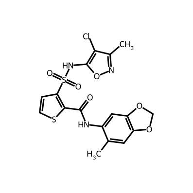 Cc1cc2c(cc1NC(=O)c1sccc1S(=O)(=O)Nc1onc(C)c1Cl)OCO2